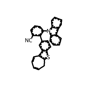 N#Cc1cccc(-n2c3ccccc3c3ccccc32)c1-c1ccc2sc3c(c2c1)C=CC=CC3